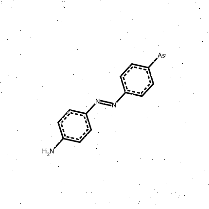 Nc1ccc(N=Nc2ccc([As])cc2)cc1